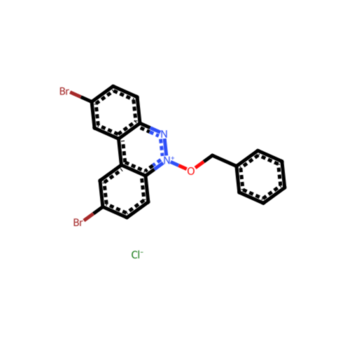 Brc1ccc2n[n+](OCc3ccccc3)c3ccc(Br)cc3c2c1.[Cl-]